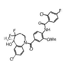 COc1cc(C(=O)N2CCC(F)(F)[C@](C)(O)c3cc(Cl)ccc32)ccc1NC(=O)c1ccc(F)cc1Cl